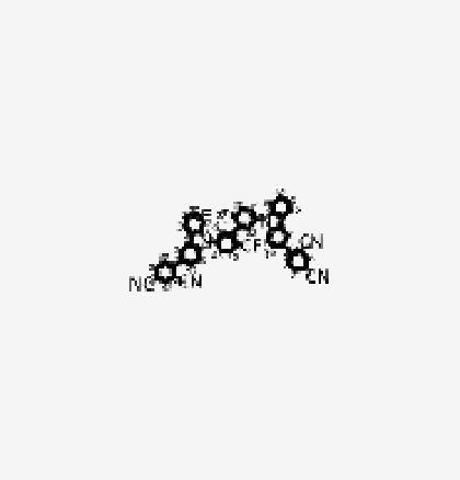 N#Cc1ccc(-c2ccc3c(c2)c2ccccc2n3-c2ccc(C(F)(F)F)c(-c3cc(-n4c5ccccc5c5cc(-c6ccc(C#N)cc6C#N)ccc54)ccc3C(F)(F)F)c2)c(C#N)c1